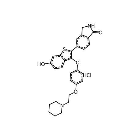 Cl.O=C1NCc2cc(-c3sc4cc(O)ccc4c3Oc3ccc(OCCN4CCCCC4)cc3)ccc21